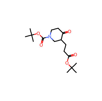 CC(C)(C)OC(=O)CCC1CN(C(=O)OC(C)(C)C)CCC1=O